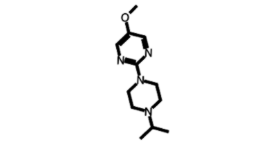 COc1cnc(N2CCN(C(C)C)CC2)nc1